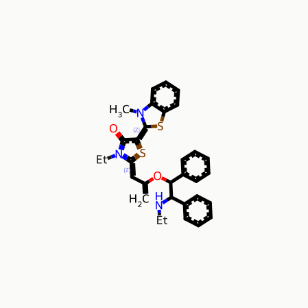 C=C(/C=c1\s/c(=C2\Sc3ccccc3N2C)c(=O)n1CC)OC(c1ccccc1)C(NCC)c1ccccc1